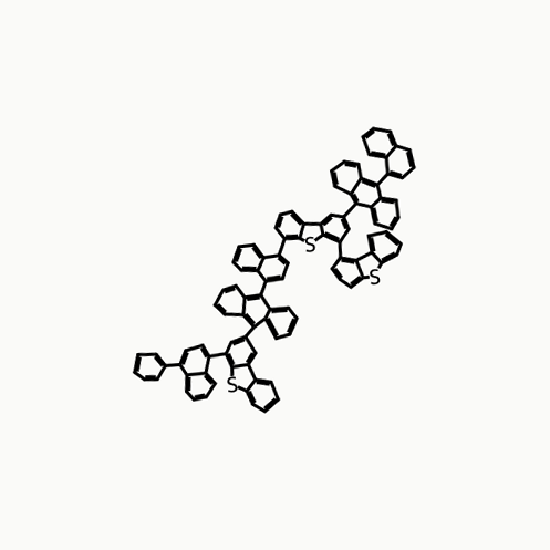 c1ccc(-c2ccc(-c3cc(-c4c5ccccc5c(-c5ccc(-c6cccc7c6sc6c(-c8cccc9sc%10ccccc%10c89)cc(-c8c9ccccc9c(-c9cccc%10ccccc9%10)c9ccccc89)cc67)c6ccccc56)c5ccccc45)cc4c3sc3ccccc34)c3ccccc23)cc1